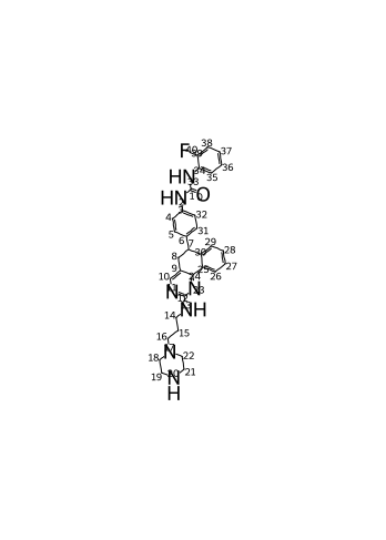 O=C(Nc1ccc(C2Cc3cnc(NCCCN4CCNCC4)nc3-c3ccccc32)cc1)Nc1ccccc1F